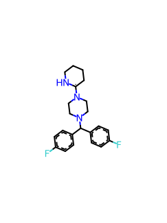 Fc1ccc(C(c2ccc(F)cc2)N2CCN([C]3CCCCN3)CC2)cc1